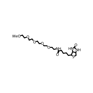 COCCOCCOCCOCCOCCNC(=O)CCCCC1SCC2NC(=O)NC21